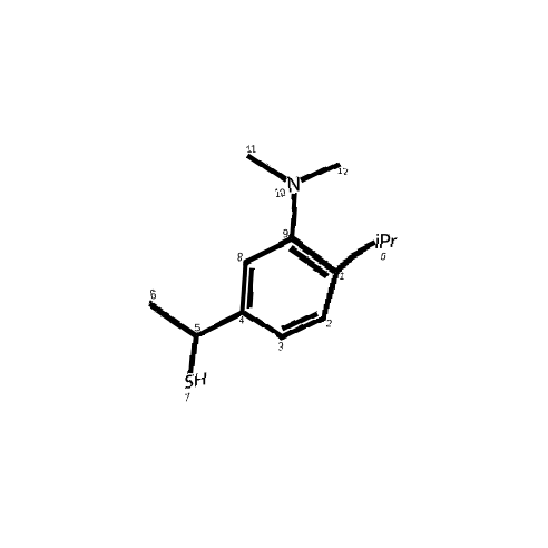 CC(C)c1ccc(C(C)S)cc1N(C)C